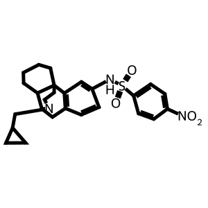 O=[N+]([O-])c1ccc(S(=O)(=O)Nc2ccc3c(c2)C24CCCCC2C(C3)N(CC2CC2)CC4)cc1